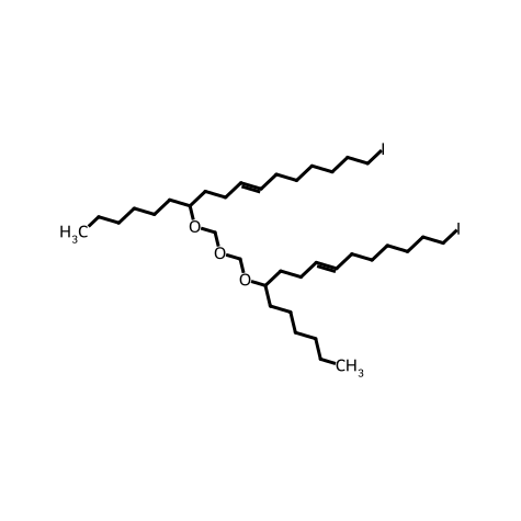 CCCCCCC(CCC=CCCCCCCI)OCOCOC(CCC=CCCCCCCI)CCCCCC